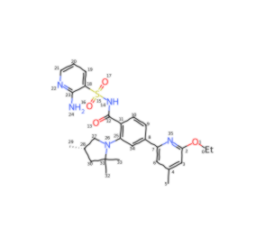 CCOc1cc(C)cc(-c2ccc(C(=O)NS(=O)(=O)c3cccnc3N)c(N3C[C@@H](C)CC3(C)C)c2)n1